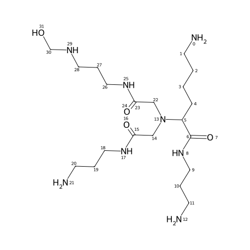 NCCCCC(C(=O)NCCCN)N(CC(=O)NCCCN)CC(=O)NCCCNCO